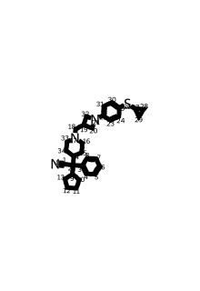 N#CC(c1ccccc1)(C1CCCC1)C1CCN(CC2CN(c3ccc(SC4CC4)cc3)C2)CC1